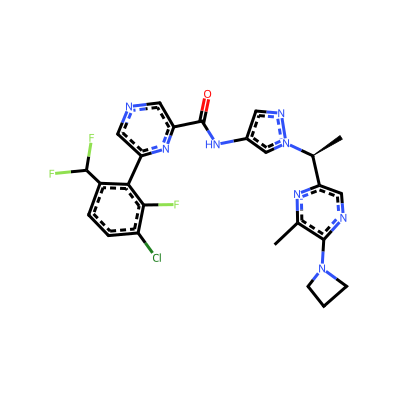 Cc1nc([C@H](C)n2cc(NC(=O)c3cncc(-c4c(C(F)F)ccc(Cl)c4F)n3)cn2)cnc1N1CCC1